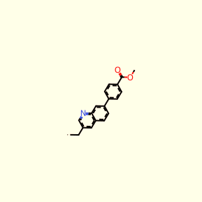 [CH2]Cc1cnc2cc(-c3ccc(C(=O)OC)cc3)ccc2c1